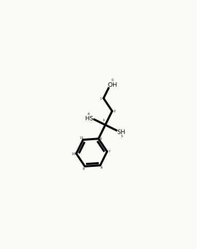 OCCC(S)(S)c1ccccc1